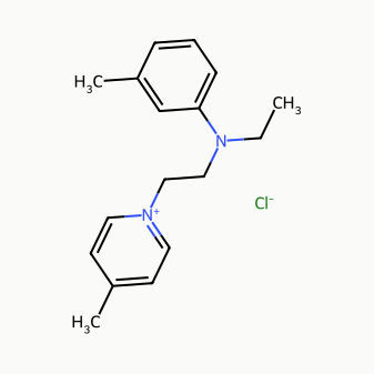 CCN(CC[n+]1ccc(C)cc1)c1cccc(C)c1.[Cl-]